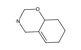 C1=C2C[N]COC2CCC1